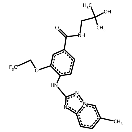 Cc1ccc2nc(Nc3ccc(C(=O)NCC(C)(C)O)cc3OCC(F)(F)F)nn2c1